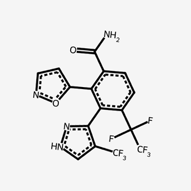 NC(=O)c1ccc(C(F)(F)C(F)(F)F)c(-c2n[nH]cc2C(F)(F)F)c1-c1ccno1